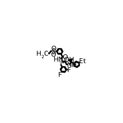 C=CCS(=O)(=O)c1cccc(C(=O)N[C@@H](Cc2cc(F)cc(F)c2)[C@H](O)CNC2(c3cccc(CC)c3)CC2)c1